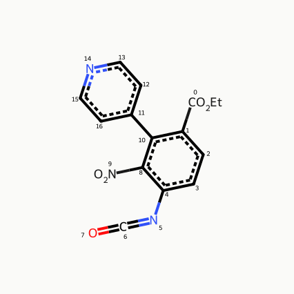 CCOC(=O)c1ccc(N=C=O)c([N+](=O)[O-])c1-c1ccncc1